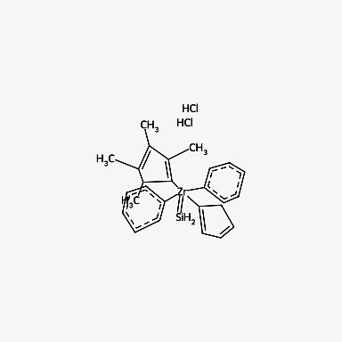 CC1=C(C)C(C)[C]([Zr](=[SiH2])([C]2=CC=CC2)([c]2ccccc2)[c]2ccccc2)=C1C.Cl.Cl